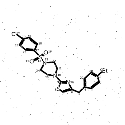 CCc1ccc(Cc2csc(N3CCN(S(=O)(=O)c4ccc(Cl)cc4)CC3)n2)cc1